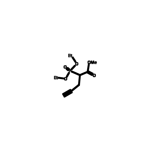 C#CCC(C(=O)OC)P(=O)(OCC)OCC